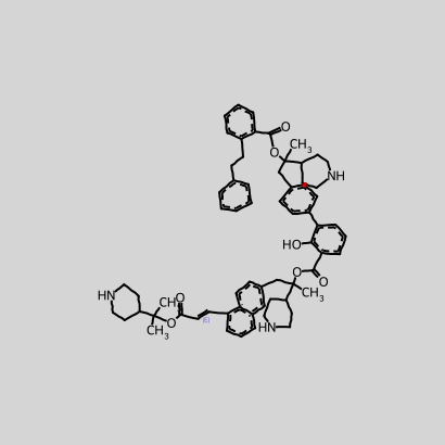 CC(C)(OC(=O)/C=C/c1cccc2cc(CC(C)(OC(=O)c3cccc(-c4ccc(CC(C)(OC(=O)c5ccccc5CCc5ccccc5)C5CCNCC5)cc4)c3O)C3CCNCC3)ccc12)C1CCNCC1